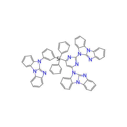 c1ccc([Si](c2ccccc2)(c2cccc(-n3c4ccccc4n4c5ccccc5nc34)c2)c2cc(-n3c4ccccc4n4c5ccccc5nc34)nc(-n3c4ccccc4n4c5ccccc5nc34)n2)cc1